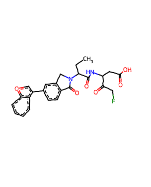 CCC(C(=O)NC(CC(=O)O)C(=O)CF)N1Cc2cc(-c3coc4ccccc34)ccc2C1=O